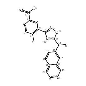 Cc1ccc([N+](=O)[O-])cc1-c1noc(C(C)c2ccc3ccccc3c2)n1